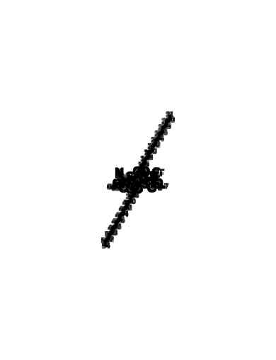 [C-]#[N+]C(C(=O)OCC)=C1Sc2c(OC(=O)CCCCCCCCCCCCCCCCC)c3c(c(OC(=O)CCCCCCCCCCCCCCCCC)c2S1)SC(=C(C#N)C(=O)OCC)S3